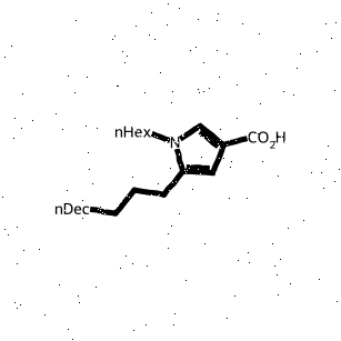 CCCCCCCCCCCCCc1cc(C(=O)O)cn1CCCCCC